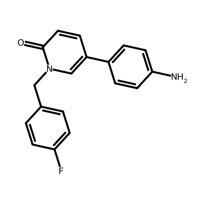 Nc1ccc(-c2ccc(=O)n(Cc3ccc(F)cc3)c2)cc1